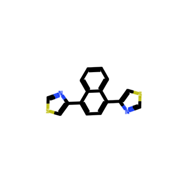 c1ccc2c(-c3cscn3)ccc(-c3cscn3)c2c1